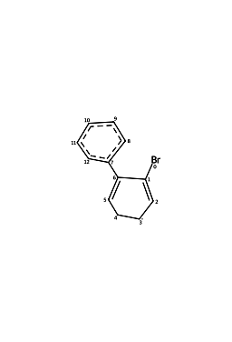 BrC1=C[CH]CC=C1c1ccccc1